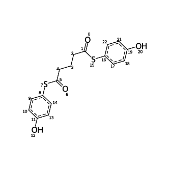 O=C(CCCC(=O)Sc1ccc(O)cc1)Sc1ccc(O)cc1